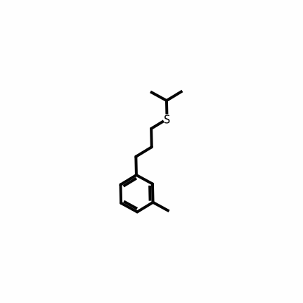 Cc1cccc(CCCSC(C)C)c1